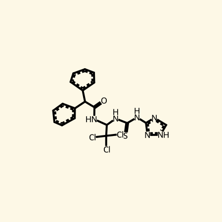 O=C(NC(NC(=S)Nc1nc[nH]n1)C(Cl)(Cl)Cl)C(c1ccccc1)c1ccccc1